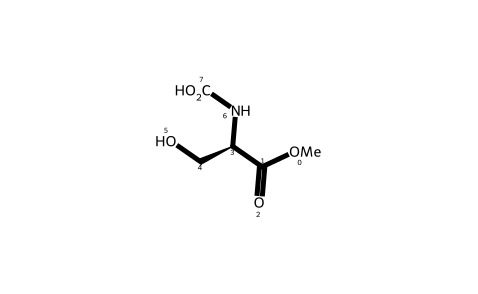 COC(=O)[C@@H](CO)NC(=O)O